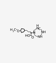 CCOc1ccc(CCC[C@H](C(=O)O)N2CCNCCNCCNCC2)cc1